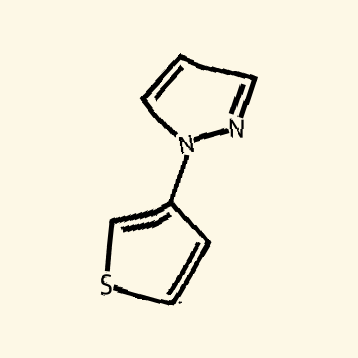 [c]1cc(-n2cccn2)cs1